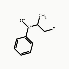 CC(CF)[S+]([O-])c1ccccc1